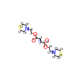 O=C(/C=C/C(=O)OCCN1CCSCC1)OCCN1CCSCC1